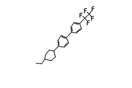 CCC1CCC(c2ccc(-c3ccc(C(F)(F)C(F)(F)F)cc3)cc2)CC1